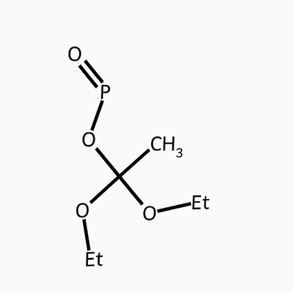 CCOC(C)(OCC)OP=O